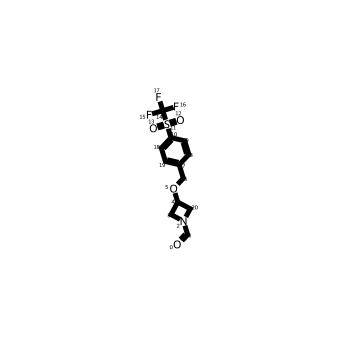 O=CN1CC(OCc2ccc(S(=O)(=O)C(F)(F)F)cc2)C1